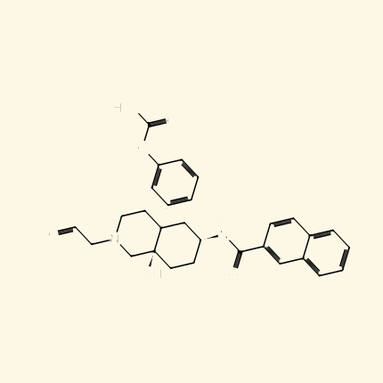 C=CCN1CC[C@@]2(c3cccc(OC(C)=O)c3)C[C@@H](NC(=O)c3ccc4ccccc4c3)CC[C@]2(O)C1